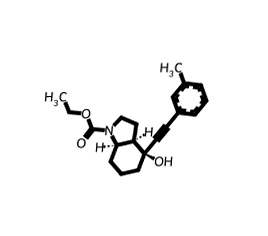 CCOC(=O)N1CC[C@@H]2[C@H]1CCC[C@@]2(O)C#Cc1cccc(C)c1